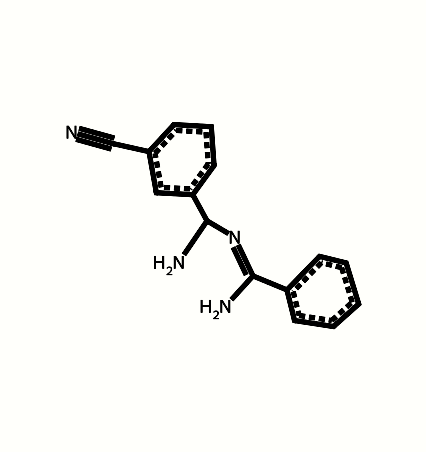 N#Cc1cccc(C(N)/N=C(\N)c2ccccc2)c1